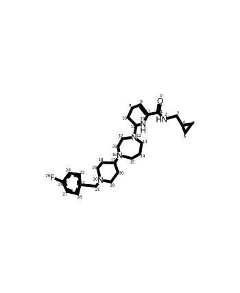 O=C(NCC1CC1)C1=CCCC(N2CCCN(C3CCN(Cc4ccc(F)cc4)CC3)CC2)N1